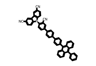 N#Cc1ccc2c(c1)c1cc(C#N)ccc1n2-c1ccc(-c2ccc(-c3ccc(-c4c5ccccc5c(-c5ccccc5)c5ccccc45)cc3)cc2)cc1C#N